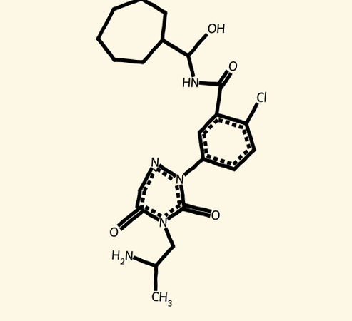 CC(N)Cn1c(=O)cnn(-c2ccc(Cl)c(C(=O)NC(O)C3CCCCCC3)c2)c1=O